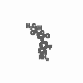 CNC(=O)[C@H]1CN(c2cc(F)c3nc(N)sc3c2)C(=O)O1